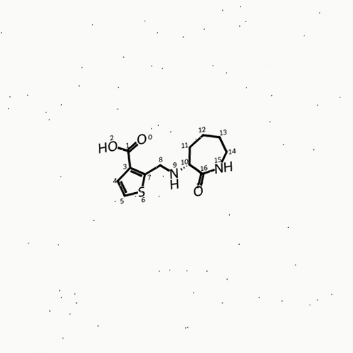 O=C(O)c1ccsc1CN[C@@H]1CCCCNC1=O